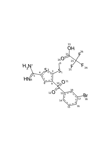 CSc1sc(C(=N)N)cc1S(=O)(=O)c1cccc(Br)c1.O=C(O)C(F)(F)F